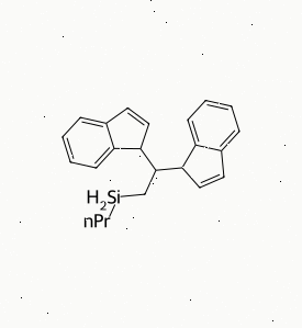 CCC[SiH2]CC(C1C=Cc2ccccc21)C1C=Cc2ccccc21